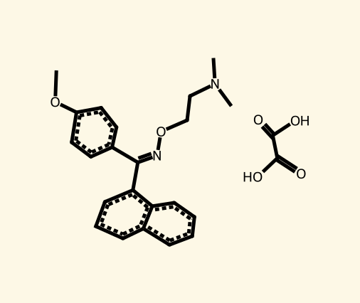 COc1ccc(C(=NOCCN(C)C)c2cccc3ccccc23)cc1.O=C(O)C(=O)O